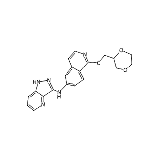 c1cnc2c(Nc3ccc4c(OCC5COCCO5)nccc4c3)n[nH]c2c1